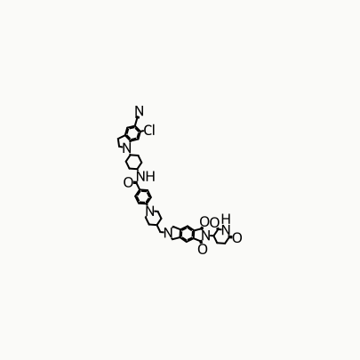 N#Cc1cc2c(cc1Cl)N([C@H]1CC[C@H](NC(=O)c3ccc(N4CCC(CN5Cc6cc7c(cc6C5)C(=O)N(C5CCC(=O)NC5=O)C7=O)CC4)cc3)CC1)CC2